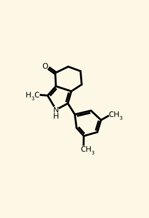 Cc1cc(C)cc(-c2[nH]c(C)c3c2CCCC3=O)c1